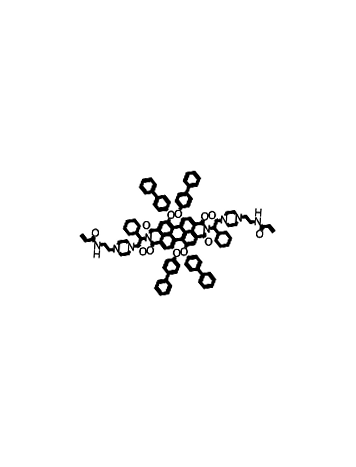 C=CC(=O)NCCN1CCN(C(=O)C(C2CCCCC2)N2C(=O)c3cc(Oc4ccc(-c5ccccc5)cc4)c4c5c(Oc6ccc(-c7ccccc7)cc6)cc6c7c(cc(Oc8ccc(-c9ccccc9)cc8)c(c8c(Oc9ccc(-c%10ccccc%10)cc9)cc(c3c48)C2=O)c75)C(=O)N(C(C(=O)N2CCN(CCNC(=O)C=C)CC2)C2CCCCC2)C6=O)CC1